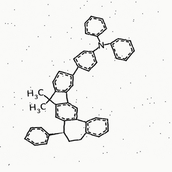 CC1(C)c2ccc(-c3ccc(N(c4ccccc4)c4ccccc4)cc3)cc2-c2cc3c(cc21)[C@H](c1ccccc1)CCc1ccccc1-3